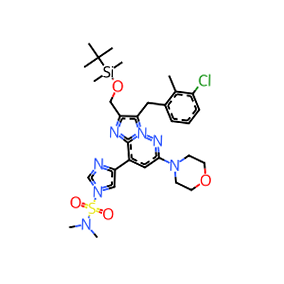 Cc1c(Cl)cccc1Cc1c(CO[Si](C)(C)C(C)(C)C)nc2c(-c3cn(S(=O)(=O)N(C)C)cn3)cc(N3CCOCC3)nn12